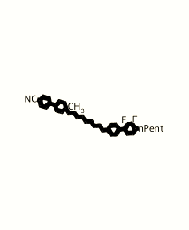 CCCCCc1ccc(-c2ccc(CCCCCCCCCC3(C)C=CC(c4ccc(C#N)cc4)=CC3)cc2)c(F)c1F